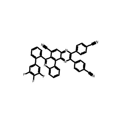 N#Cc1ccc(-c2nc3cc(C#N)c4c(-c5ccccc5-c5cc(F)c(F)c(F)c5)nc5ccccc5c4c3nc2-c2ccc(C#N)cc2)cc1